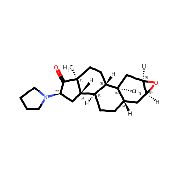 C[C@]12C[C@H]3O[C@H]3C[C@@H]1CC[C@@H]1[C@@H]2CC[C@]2(C)C(=O)[C@H](N3CCCC3)C[C@@H]12